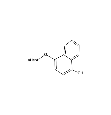 CCCCCCCOc1ccc(O)c2ccccc12